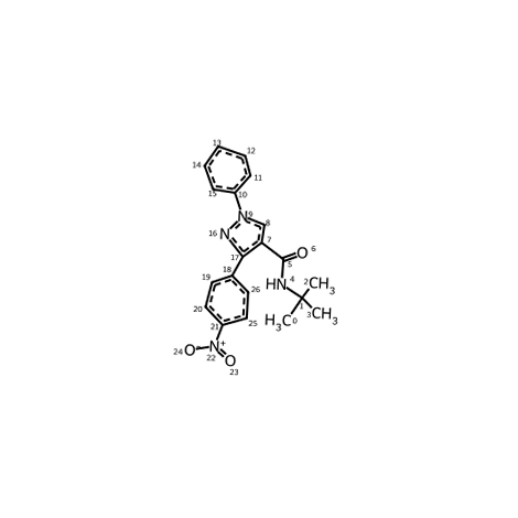 CC(C)(C)NC(=O)c1cn(-c2ccccc2)nc1-c1ccc([N+](=O)[O-])cc1